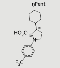 CCCCCC1CCC([C@H]2CCN(c3ccc(C(F)(F)F)cc3)[C@@H]2C(=O)O)CC1